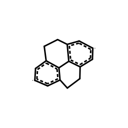 [c]1cc2c3c(c1)CCc1c[c]cc(c1-3)CC2